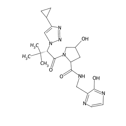 CC(C)(C)[C@@H](C(=O)N1CC(O)CC1C(=O)NCc1nccnc1O)n1cc(C2CC2)nn1